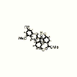 COC(=O)c1ccc(Cl)c(C2(O)C(=O)N(Cc3ccc(Cl)cc3OC)c3ccc(Cl)cc32)c1